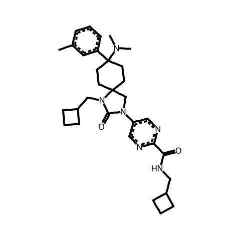 Cc1cccc(C2(N(C)C)CCC3(CC2)CN(c2cnc(C(=O)NCC4CCC4)nc2)C(=O)N3CC2CCC2)c1